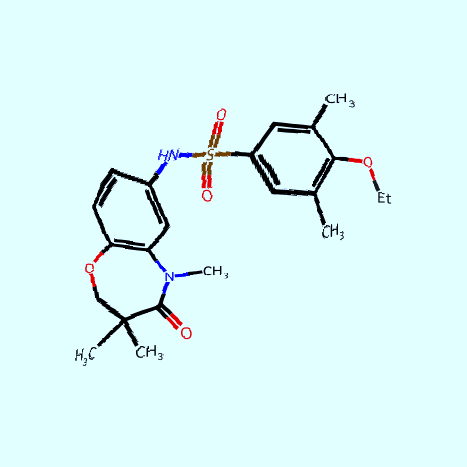 CCOc1c(C)cc(S(=O)(=O)Nc2ccc3c(c2)N(C)C(=O)C(C)(C)CO3)cc1C